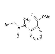 COC(=O)c1ccccc1N(C)C(=O)CBr